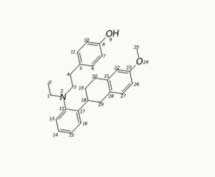 CCN(CCc1ccc(O)cc1)c1ccccc1C1CCc2cc(OC)ccc2C1